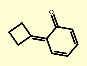 O=C1C=CC=CC1=C1CCC1